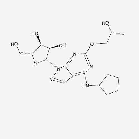 C[C@@H](O)COc1nc(NC2CCCC2)c2cnn([C@@H]3O[C@H](CO)[C@@H](O)[C@H]3O)c2n1